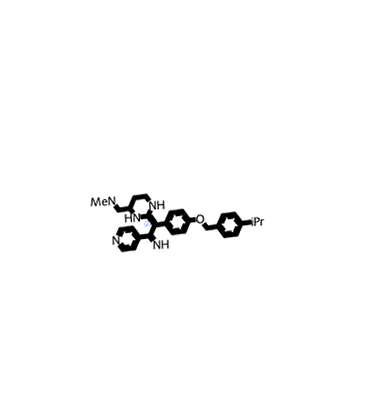 CNCC1CCN/C(=C(/C(=N)c2ccncc2)c2ccc(OCc3ccc(C(C)C)cc3)cc2)N1